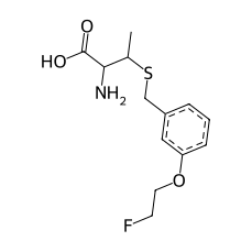 CC(SCc1cccc(OCCF)c1)C(N)C(=O)O